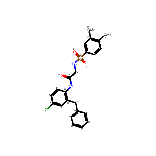 COc1ccc(S(=O)(=O)NCC(=O)Nc2ccc(Cl)cc2Cc2ccccc2)cc1OC